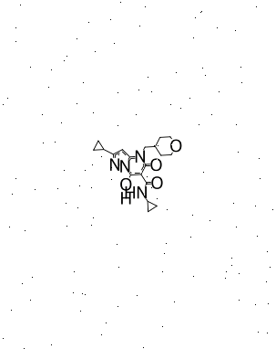 O=C(NC1CC1)c1c(O)n2nc(C3CC3)cc2n(CC2CCOCC2)c1=O